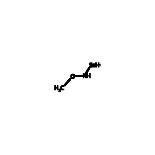 CO[NH][SnH]